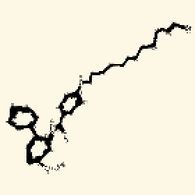 O=C(O)c1ccc(-c2ccccc2)c(OC(=O)c2ccc(OCCCCCCCCCCCCBr)cc2)c1